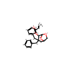 C=CC(=O)OC1C2OCC(CC1(Cc1ccccc1)Cc1ccccc1)O2